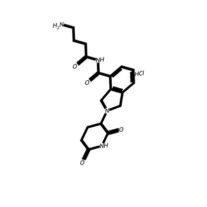 Cl.NCCCC(=O)NC(=O)c1cccc2c1CN(C1CCC(=O)NC1=O)C2